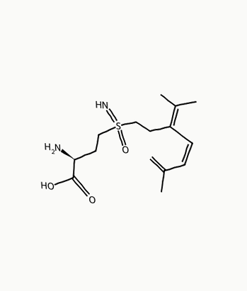 C=C(C)/C=C\C(CCS(=N)(=O)CC[C@H](N)C(=O)O)=C(C)C